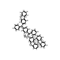 Cc1cc2oc3ccccc3c2c(-c2cccc3c2oc2ccccc23)c1-c1ccccc1[C@@H](C)c1ccc(N(c2ccccc2)c2ccc3c(c2)sc2ccccc23)cc1